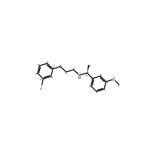 COc1cccc([C@H](C)NCCCc2cccc(I)c2)c1